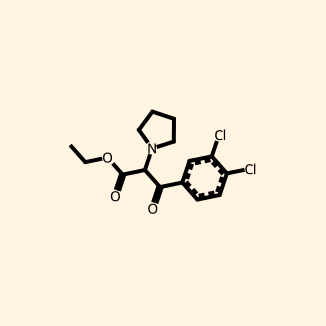 CCOC(=O)C(C(=O)c1ccc(Cl)c(Cl)c1)N1CCCC1